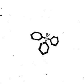 BrS(C1CCCCC1)(C1CCCCC1)C1CCCCC1